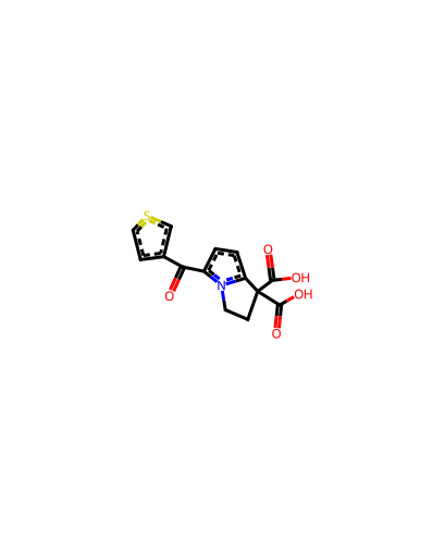 O=C(c1ccsc1)c1ccc2n1CCC2(C(=O)O)C(=O)O